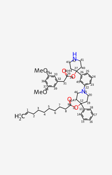 C=CCCCCCCCC(=O)OC1(c2ccccc2)CCN(c2cccc(C3(OC(=O)Cc4cc(OC)cc(OC)c4)CCNCC3)c2)CC1